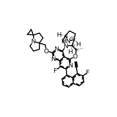 C#Cc1c(F)ccc2cccc(-c3nc4c5c(nc(OCC67CCCN6C6(CC6)CC7)nc5c3F)N3C[C@H]5CC[C@H](N5)[C@H]3[C@H](C)O4)c12